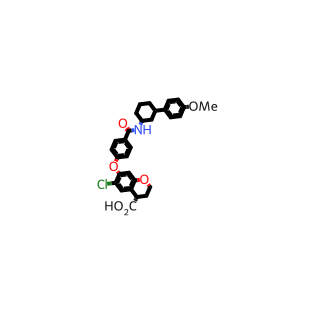 COc1ccc(C2CCCC(NC(=O)c3ccc(Oc4cc5c(cc4Cl)C(C(=O)O)CCO5)cc3)C2)cc1